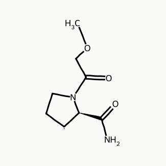 COCC(=O)N1CC[CH][C@@H]1C(N)=O